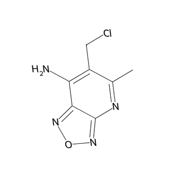 Cc1nc2nonc2c(N)c1CCl